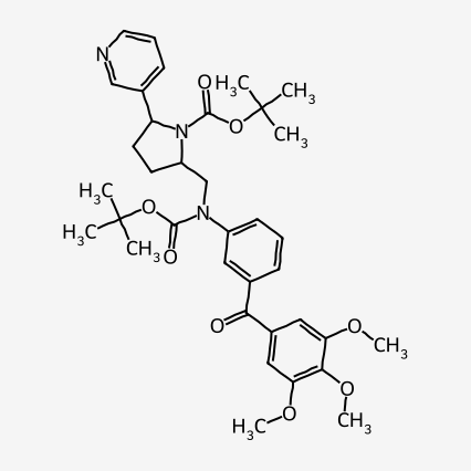 COc1cc(C(=O)c2cccc(N(CC3CCC(c4cccnc4)N3C(=O)OC(C)(C)C)C(=O)OC(C)(C)C)c2)cc(OC)c1OC